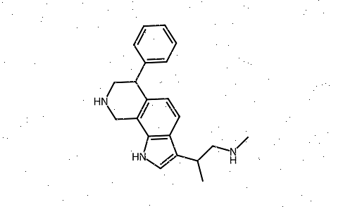 CNCC(C)c1c[nH]c2c3c(ccc12)C(c1ccccc1)CNC3